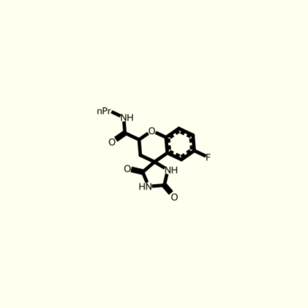 CCCNC(=O)C1CC2(NC(=O)NC2=O)c2cc(F)ccc2O1